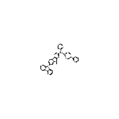 CC1(C)c2cc(N(c3ccccc3)C3C4C=CC(c5ccccc5)=CCC43)ccc2-c2ccc(-n3c4ccccc4c4ccccc43)cc21